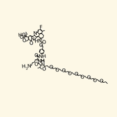 CCCOCCOCCOCCOCCOCCOCCOCCOCCOCCC(=O)NC(C(=O)N[C@@H](CCCCN)C(=O)Nc1ccc(COC(=O)N[C@H]2CCc3c(C)c(F)cc4nc5c(c2c34)Cn2c-5cc3c(c2=O)COC(=O)[C@]3(O)CC)cc1)C(C)C